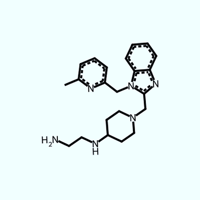 Cc1cccc(Cn2c(CN3CCC(NCCN)CC3)nc3ccccc32)n1